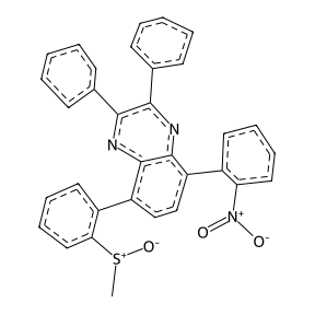 C[S+]([O-])c1ccccc1-c1ccc(-c2ccccc2[N+](=O)[O-])c2nc(-c3ccccc3)c(-c3ccccc3)nc12